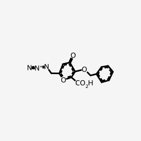 [N-]=[N+]=NCc1cc(=O)c(OCc2ccccc2)c(C(=O)O)o1